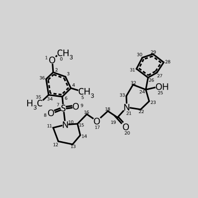 COc1cc(C)c(S(=O)(=O)N2CCCCC2COCC(=O)N2CCC(O)(c3ccccc3)CC2)c(C)c1